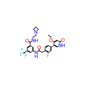 CCOc1cc(=O)[nH]cc1-c1ccc(CC(=O)Nc2cc(C(=O)NCCN3CCC3)cc(C(F)(F)F)c2)c(F)c1